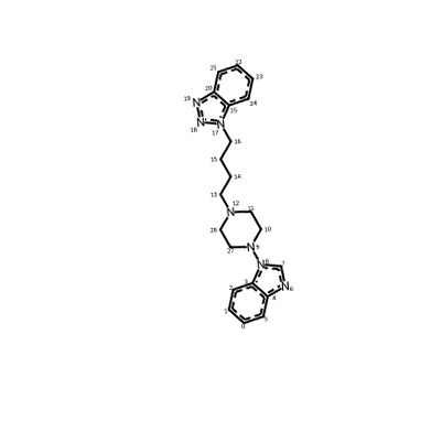 c1ccc2c(c1)ncn2N1CCN(CCCCn2nnc3ccccc32)CC1